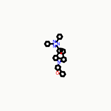 c1ccc(-c2nc(-c3ccccc3)nc(-c3cccc(-c4cccc5c4c4c(-c6ccccc6)cccc4n5-c4ccc5oc6ccccc6c5c4)c3)n2)cc1